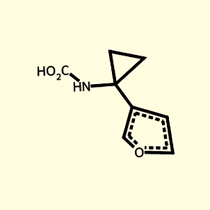 O=C(O)NC1(c2ccoc2)CC1